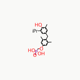 Cc1cc(Cc2c(C)cc(OCP(=O)(O)O)cc2C)cc(C(C)C)c1O